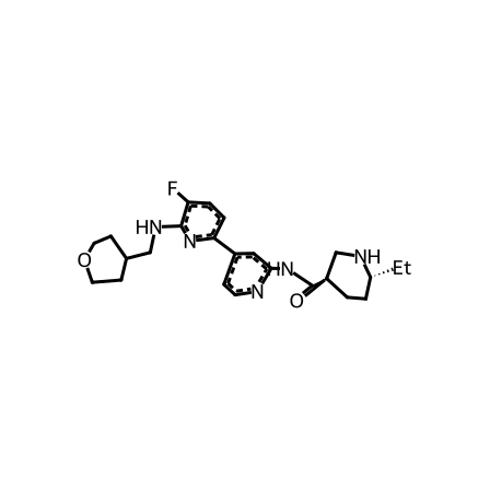 CC[C@@H]1CC[C@@H](C(=O)Nc2cc(-c3ccc(F)c(NCC4CCOCC4)n3)ccn2)CN1